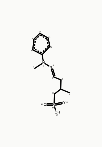 [CH2]C(CC=NN(C)c1ccccc1)CS(=O)(=O)O